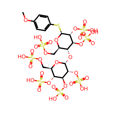 COc1ccc(S[C@@H]2O[C@H](COS(=O)(=O)O)[C@@H](O[C@H]3O[C@H](COS(=O)(=O)O)[C@@H](OS(=O)(=O)O)[C@H](OS(=O)(=O)O)[C@H]3OS(=O)(=O)O)[C@H](OS(=O)(=O)O)[C@H]2OS(=O)(=O)O)cc1